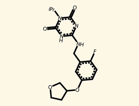 CC(C)n1c(=O)nc(NCc2cc(OC3CCOC3)ccc2F)[nH]c1=O